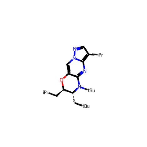 CC(C)C[C@H]1Oc2cn3ncc(C(C)C)c3nc2N(C(C)(C)C)[C@@H]1CC(C)(C)C